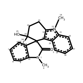 CN1C(=O)C2(c3ccccc31)c1c(n(C)c3ccccc13)CCC2(C)O